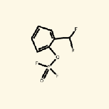 O=P(F)(F)Oc1ccccc1C(F)F